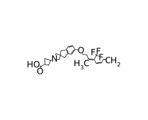 C=C/C=C\C(=C(/C)CCOc1ccc2c(c1)CC1(C2)CN(C2CC(C(=O)O)C2)C1)C(F)(F)F